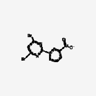 O=[N+]([O-])c1cccc(-c2nc(Br)cc(Br)n2)c1